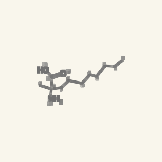 CCCCCCCCC(C)([SiH3])C(=O)O